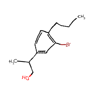 [CH2]C(CO)c1ccc(CCC)c(Br)c1